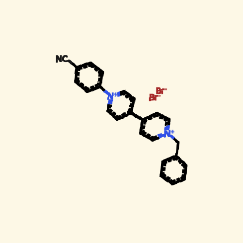 N#Cc1ccc(-[n+]2ccc(-c3cc[n+](Cc4ccccc4)cc3)cc2)cc1.[Br-].[Br-]